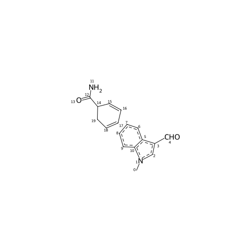 Cn1cc(C=O)c2ccccc21.NC(=O)C1C=CC=CC1